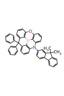 CC1(C)c2ccccc2-c2ccc(N3c4cccc5c4B4c6c(cccc6C(c6ccccc6)(c6ccccc6)c6cccc3c64)O5)cc21